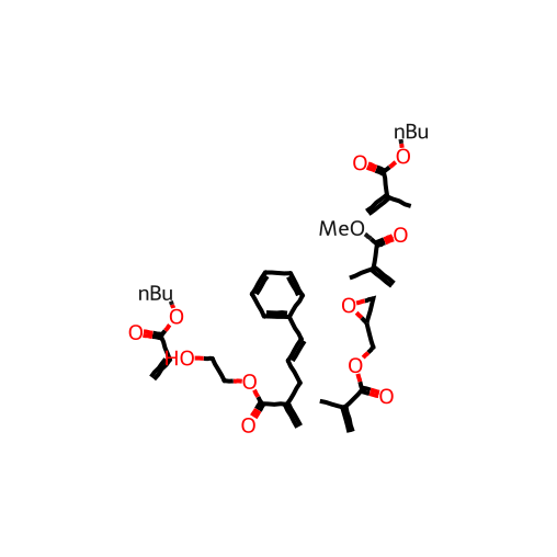 C=C(C)C(=O)OC.C=C(C)C(=O)OCC1CO1.C=C(C)C(=O)OCCCC.C=C(CC=Cc1ccccc1)C(=O)OCCO.C=CC(=O)OCCCC